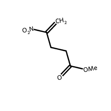 C=C(CCC(=O)OC)[N+](=O)[O-]